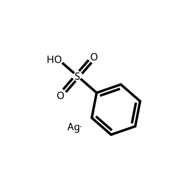 O=S(=O)(O)c1ccccc1.[Ag]